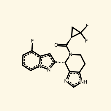 O=C([C@H]1CC1(F)F)N1CCc2[nH]cnc2[C@@H]1c1cc2c(F)cccn2n1